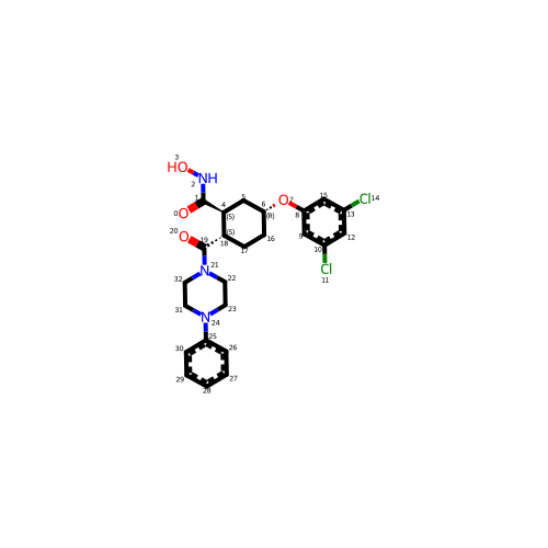 O=C(NO)[C@H]1C[C@H](Oc2cc(Cl)cc(Cl)c2)CC[C@@H]1C(=O)N1CCN(c2ccccc2)CC1